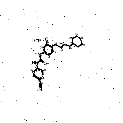 Cl.N#Cc1cnc(NC(=O)Nc2ccc(CCNCC3CCCCC3)c(Cl)c2)cn1